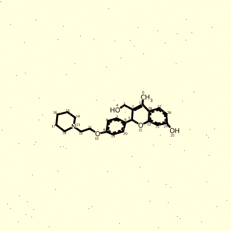 CC1=C(CO)C(c2ccc(OCCN3CCCCC3)cc2)Oc2cc(O)ccc21